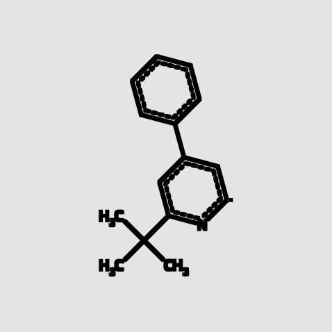 CC(C)(C)c1cc(-c2ccccc2)c[c]n1